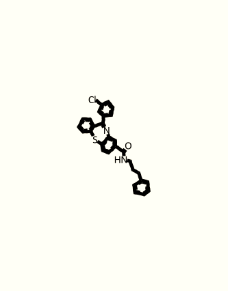 O=C(NCCCc1ccccc1)c1ccc2c(c1)N=C(c1cccc(Cl)c1)c1ccccc1S2